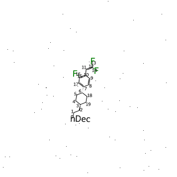 CCCCCCCCCCCC[C@H]1CC[C@H](c2ccc(C=C(F)F)c(F)c2)CC1